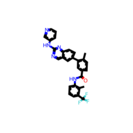 Cc1ccc(C(=O)Nc2cccc(C(F)(F)F)c2C)cc1-c1ccc2nc(Nc3cccnc3)ncc2c1